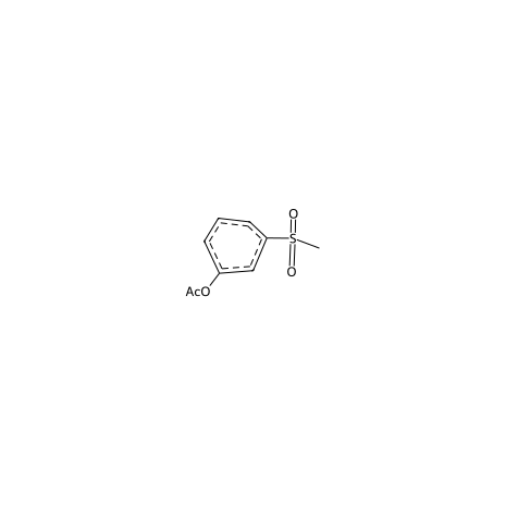 CC(=O)Oc1cccc(S(C)(=O)=O)c1